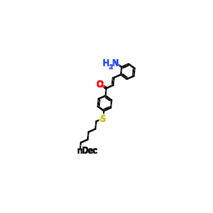 CCCCCCCCCCCCCCCSc1ccc(C(=O)/C=C/c2ccccc2N)cc1